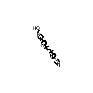 CN1CCN(c2ccc(C(C)(C)CCC(C)(C)c3ccc(N4CCN(CCO)CC4)cn3)nc2)CC1